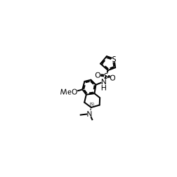 COc1ccc(NS(=O)(=O)c2ccsc2)c2c1C[C@@H](N(C)C)CC2